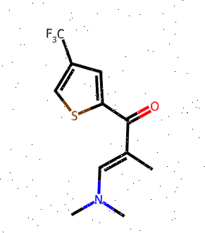 CC(=CN(C)C)C(=O)c1cc(C(F)(F)F)cs1